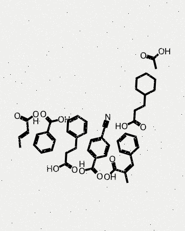 C/C=C/C(=O)O.CC(=Cc1ccccc1)C(=O)O.CC(=O)O.N#Cc1ccc(C(=O)O)cc1.O=C(O)CCC1CCCCC1.O=C(O)CCc1ccccc1.O=C(O)c1ccccc1